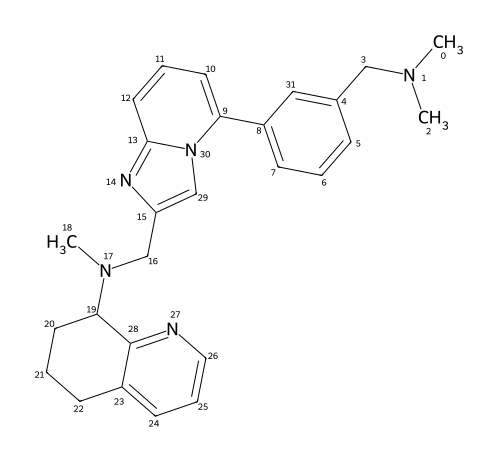 CN(C)Cc1cccc(-c2cccc3nc(CN(C)C4CCCc5cccnc54)cn23)c1